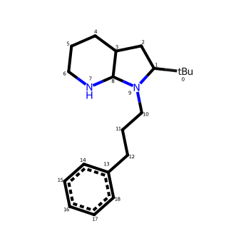 CC(C)(C)C1CC2CCCNC2N1CCCc1ccccc1